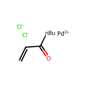 C=CC(=O)CCCC.[Cl-].[Cl-].[Pd+2]